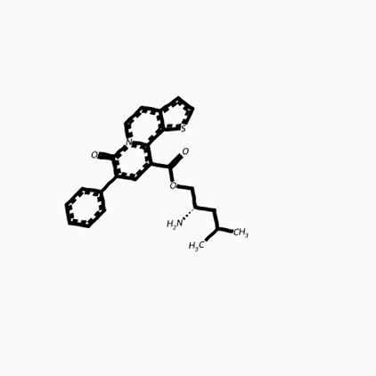 CC(C)C[C@H](N)COC(=O)c1cc(-c2ccccc2)c(=O)n2ccc3ccsc3c12